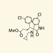 COC(=O)CC[C@@H](c1cccc(Cl)c1)C1(NCC2CC2)C(=O)Nc2cc(Cl)ccc21